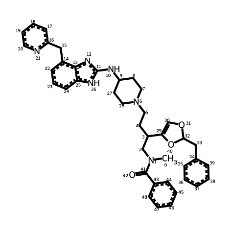 CN(CC(CCN1CCC(Nc2nc3c(Cc4ccccn4)cccc3[nH]2)CC1)C1=COC(Cc2ccccc2)O1)C(=O)c1ccccc1